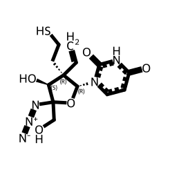 C=C[C@]1(CCS)[C@H](O)C(CO)(N=[N+]=[N-])O[C@H]1n1ccc(=O)[nH]c1=O